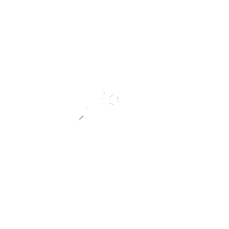 CCCCCCCCCCCCCC[N+]1(CC#CI)CCCCC1.Cc1ccc(S(=O)(=O)O)cc1